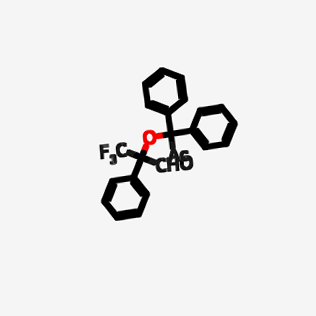 CC(=O)C(OC([C]=O)(c1ccccc1)C(F)(F)F)(c1ccccc1)c1ccccc1